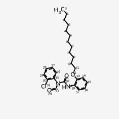 CCCCCCCCCCCCOc1ccccc1NC(=O)N([C]=O)c1ccccc1Cl